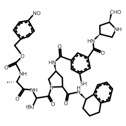 C[C@H](NC(=O)OCc1ccc(N=O)cc1)C(=O)NC(C(=O)N1C[C@@H](NC(=O)c2cc(S)cc(C(=O)N[C@@H]3CN[C@H](C=O)C3)c2)CC1C(=O)N[C@@H]1CCCc2ccccc21)C(C)(C)C